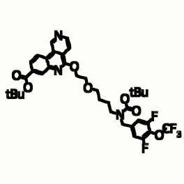 CC(C)(C)OC(=O)c1ccc2c(c1)nc(OCCOCCCCN(Cc1cc(F)c(OC(F)(F)F)c(F)c1)C(=O)OC(C)(C)C)c1ccncc12